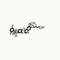 COc1cc2c(Oc3ccc(NS(=O)(=O)c4cc(F)ccc4F)cc3F)ccnc2cc1OCCCCO